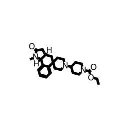 CCOC(=O)N1CCC(N2CCC3(CC2)C[C@H]2CC(=O)N(C)[C@H]2c2ccccc23)CC1